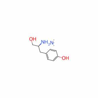 N[C@H](CO)Cc1ccc(O)cc1.[N]